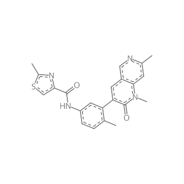 Cc1cc2c(cn1)cc(-c1cc(NC(=O)c3csc(C)n3)ccc1C)c(=O)n2C